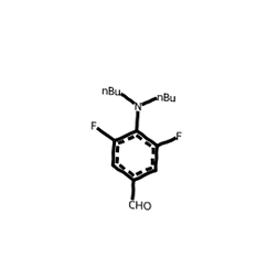 CCCCN(CCCC)c1c(F)cc(C=O)cc1F